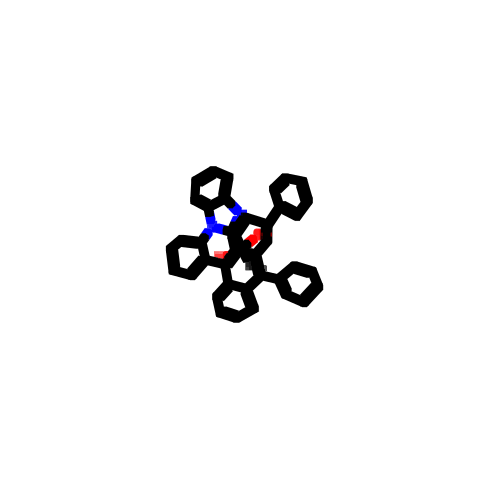 BC(O)(O)c1nc2ccccc2n1-c1ccccc1-c1c2ccccc2c(-c2ccccc2)c2cc(-c3ccccc3)ccc12